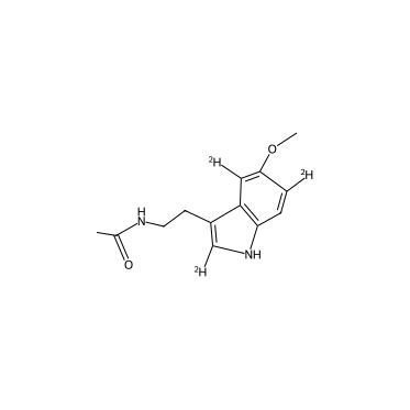 [2H]c1cc2[nH]c([2H])c(CCNC(C)=O)c2c([2H])c1OC